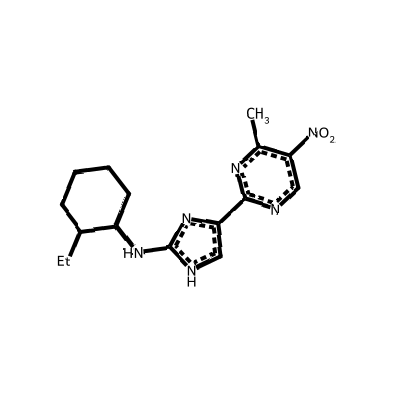 CCC1CCCCC1Nc1nc(-c2ncc([N+](=O)[O-])c(C)n2)c[nH]1